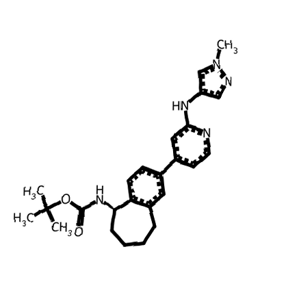 Cn1cc(Nc2cc(-c3ccc4c(c3)CCCC[C@H]4NC(=O)OC(C)(C)C)ccn2)cn1